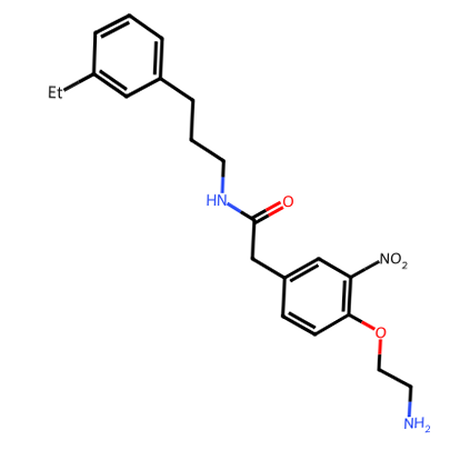 CCc1cccc(CCCNC(=O)Cc2ccc(OCCN)c([N+](=O)[O-])c2)c1